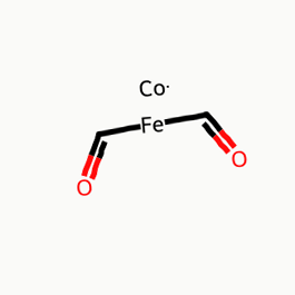 O=[CH][Fe][CH]=O.[Co]